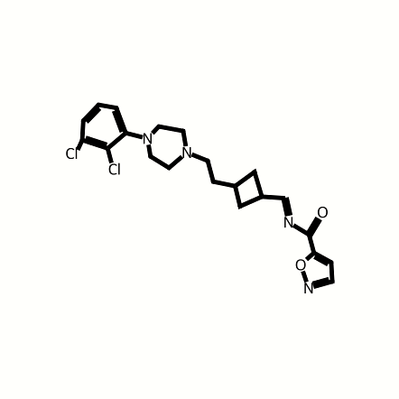 O=C(/N=C/C1CC(CCN2CCN(c3cccc(Cl)c3Cl)CC2)C1)c1ccno1